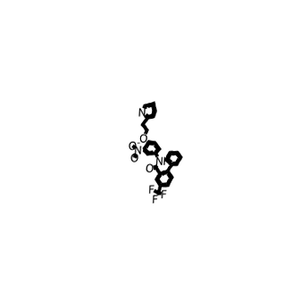 O=C(Nc1ccc(OCCc2ccccn2)c([N+](=O)[O-])c1)c1cc(C(F)(F)F)ccc1-c1ccccc1